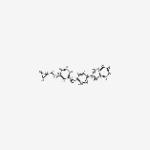 [c]1ccc2nc(-c3ccc(Oc4cccc(OCC5CC5)c4)nn3)oc2c1